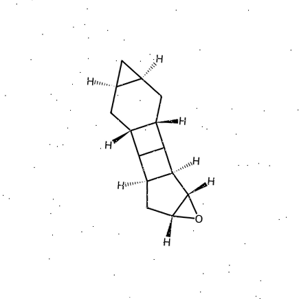 C1[C@@H]2C[C@H]3C4C([C@H]5[C@@H]6O[C@@H]6C[C@@H]45)[C@H]3C[C@H]12